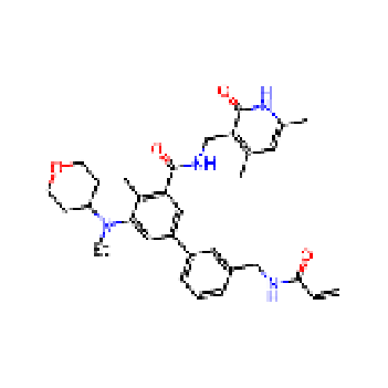 C=CC(=O)NCc1cccc(-c2cc(C(=O)NCc3c(C)cc(C)[nH]c3=O)c(C)c(N(CC)C3CCOCC3)c2)c1